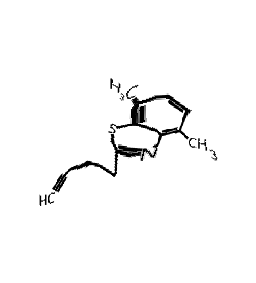 C#CCCc1nc2c(C)ccc(C)c2s1